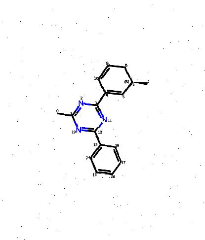 Cc1nc(C2=C[C@H](C)CC=C2)nc(-c2ccccc2)n1